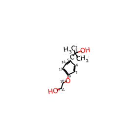 [CH2]C(C)(O)Cc1ccc(OCCO)cc1